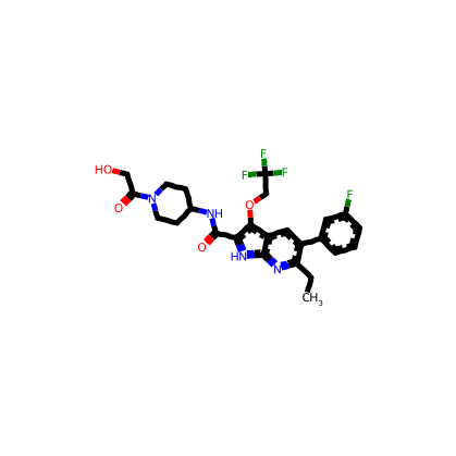 CCc1nc2[nH]c(C(=O)NC3CCN(C(=O)CO)CC3)c(OCC(F)(F)F)c2cc1-c1cccc(F)c1